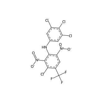 O=[N+]([O-])c1cc(C(F)(F)F)c(Cl)c([N+](=O)[O-])c1Nc1cc(Cl)c(Cl)c(Cl)c1